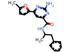 Cc1ccc(-c2cc(C(=O)NC(C)Cc3ccccc3)nc(N)n2)o1